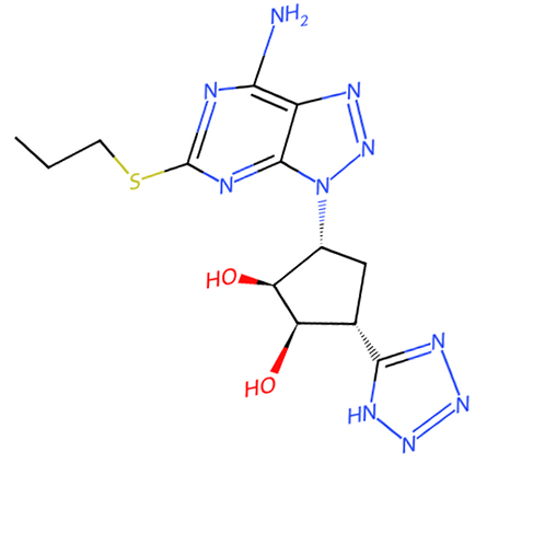 CCCSc1nc(N)c2nnn([C@@H]3C[C@H](c4nnn[nH]4)[C@@H](O)[C@H]3O)c2n1